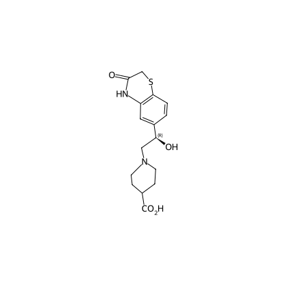 O=C1CSc2ccc([C@@H](O)CN3CCC(C(=O)O)CC3)cc2N1